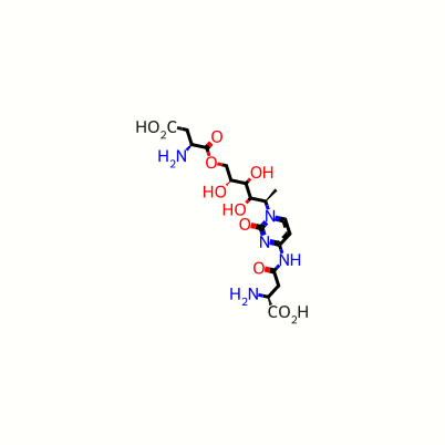 C[C@H](C(O)C(O)[C@H](O)COC(=O)[C@@H](N)CC(=O)O)n1ccc(NC(=O)C[C@H](N)C(=O)O)nc1=O